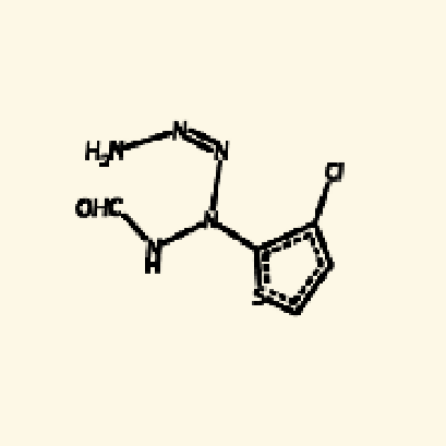 N/N=N\N(NC=O)c1sccc1Cl